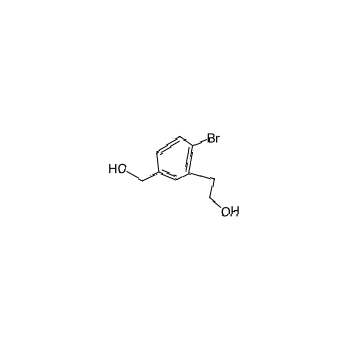 OCCc1cc(CO)ccc1Br